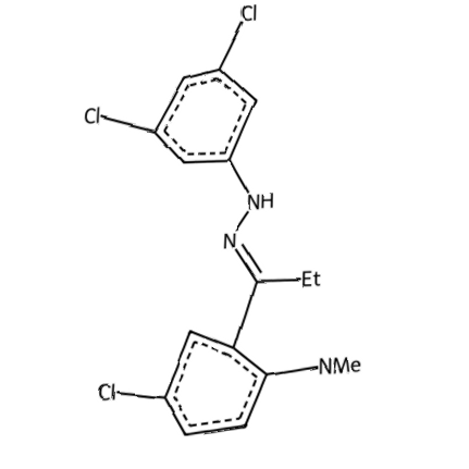 CC/C(=N\Nc1cc(Cl)cc(Cl)c1)c1cc(Cl)ccc1NC